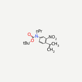 C=C(C)c1ccc(N(CCC)C(=O)OC(C)(C)C)cc1[N+](=O)[O-]